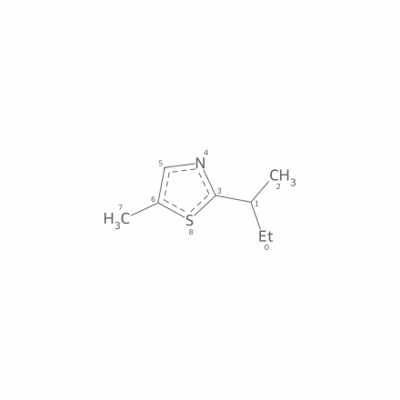 CCC(C)c1ncc(C)s1